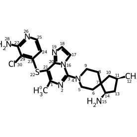 Cc1nc(N2CCC3(CC2)C[C@@H](C)C[C@H]3N)n2ccnc2c1Sc1ccnc(N)c1Cl